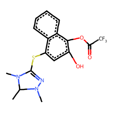 CC1N(C)N=C(Sc2cc(O)c(OC(=O)C(F)(F)F)c3ccccc23)N1C